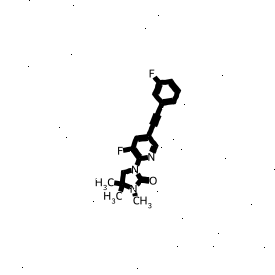 CN1C(=O)N(c2ncc(C#Cc3cccc(F)c3)cc2F)CC1(C)C